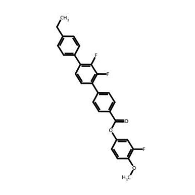 CCc1ccc(-c2ccc(-c3ccc(C(=O)Oc4ccc(OC)c(F)c4)cc3)c(F)c2F)cc1